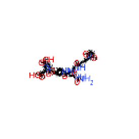 NC(=O)NCCC[C@H](NC(=O)CNC(=O)CCCCCN1C(=O)C=CC1=O)C(=O)Nc1ccc(COC(=O)N2CCN(C(=O)O)CC2CCC(=O)O)cc1